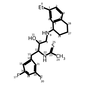 CCc1ccc2c(c1)C(NCC(O)C(Cc1cc(F)cc(F)c1)NC(C)=S)CCC2